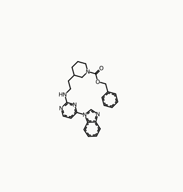 O=C(OCc1ccccc1)N1CCCC(CCNc2nccc(-n3cnc4ccccc43)n2)C1